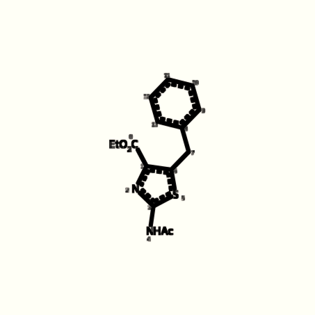 CCOC(=O)c1nc(NC(C)=O)sc1Cc1ccccc1